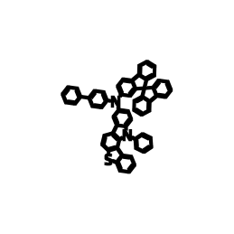 c1ccc(-c2ccc(N(c3ccc4c(c3)C3(c5ccccc5-c5ccccc53)c3ccccc3-4)c3ccc4c(c3)c3ccc5sc6ccccc6c5c3n4-c3ccccc3)cc2)cc1